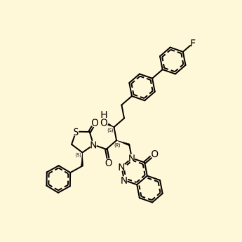 O=C1SC[C@H](Cc2ccccc2)N1C(=O)[C@H](Cn1nnc2ccccc2c1=O)[C@@H](O)CCc1ccc(-c2ccc(F)cc2)cc1